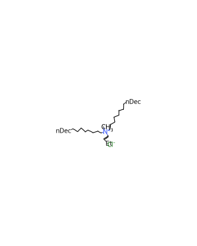 CCC=C[N+](C)(CCCCCCCCCCCCCCCCCC)CCCCCCCCCCCCCCCCCC.[Cl-]